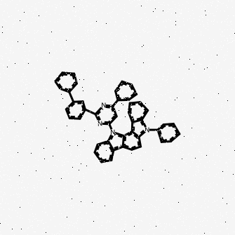 c1ccc(-c2cccc(-c3nc(-c4ccccc4)cc(-n4c5ccccc5c5ccc6c(c7ccccc7n6-c6ccccc6)c54)n3)c2)cc1